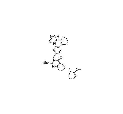 CCCCc1nc2ccc(Cc3ccccc3O)cc2c(=O)n1Cc1ccc(-c2ccccc2-c2nnn[nH]2)cc1